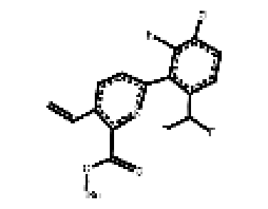 C=Cc1ccc(-c2c(C(F)F)ccc(Cl)c2F)nc1C(=O)OC(C)(C)C